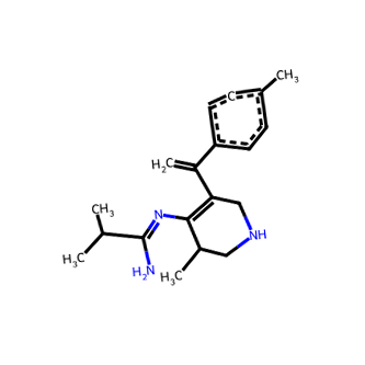 C=C(C1=C(/N=C(\N)C(C)C)C(C)CNC1)c1ccc(C)cc1